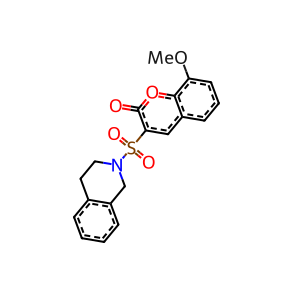 COc1cccc2cc(S(=O)(=O)N3CCc4ccccc4C3)c(=O)oc12